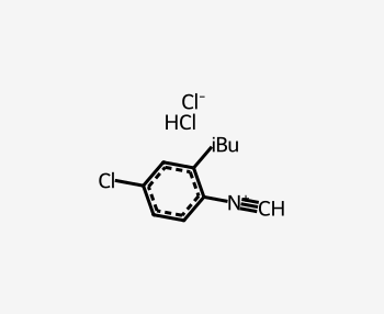 C#[N+]c1ccc(Cl)cc1C(C)CC.Cl.[Cl-]